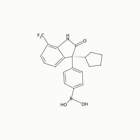 O=C1Nc2c(C(F)(F)F)cccc2[C@@]1(c1ccc(B(O)O)cc1)C1CCCC1